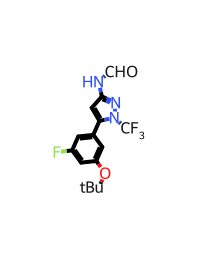 CC(C)(C)Oc1cc(F)cc(-c2cc(NC=O)nn2C(F)(F)F)c1